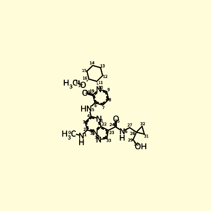 CNc1cc(Nc2cccn([C@H]3CCCC[C@H]3OC)c2=O)nc2c(C(=O)NCC3(CO)CC3)cnn12